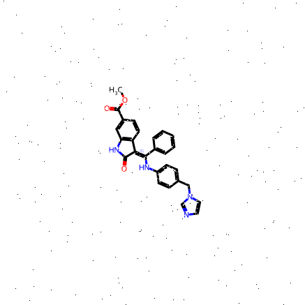 COC(=O)c1ccc2c(c1)NC(=O)/C2=C(\Nc1ccc(Cn2ccnc2)cc1)c1ccccc1